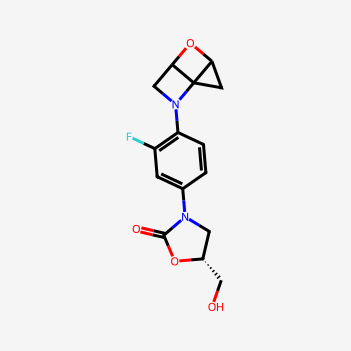 O=C1O[C@@H](CO)CN1c1ccc(N2CC3OC4CC342)c(F)c1